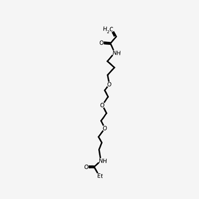 C=CC(=O)NCCCOCCOCCOCCCNC(=O)CC